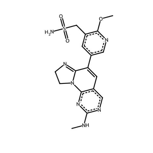 CNc1ncc2c(n1)N1CCN=C1C(c1cnc(OC)c(CS(N)(=O)=O)c1)=C2